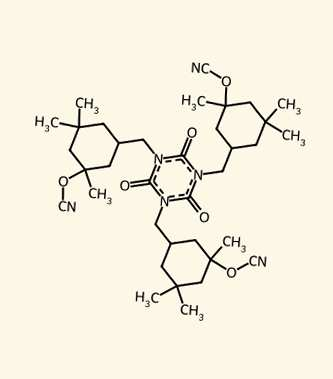 CC1(C)CC(Cn2c(=O)n(CC3CC(C)(C)CC(C)(OC#N)C3)c(=O)n(CC3CC(C)(C)CC(C)(OC#N)C3)c2=O)CC(C)(OC#N)C1